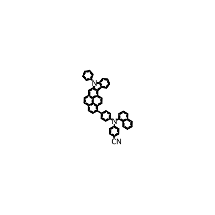 N#Cc1ccc(N(c2ccc(-c3ccc4ccc5cc6c(c7ccc3c4c57)c3ccccc3n6-c3ccccc3)cc2)c2cccc3ccccc23)cc1